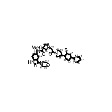 CO[C@@]1(C(=O)Nc2ccc3[nH]nc(N4CCOCC4)c3c2)CCN(CC(=O)N2CC=C(c3ccc(-c4ncccn4)cc3F)CC2)C1